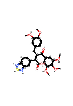 COc1ccc(CC(C(=O)c2cc(OC)c(OC)c(OC)c2)=C(C(=O)O)c2ccc3nsnc3c2)cc1OC